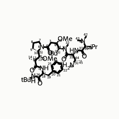 CC[C@H](C)[C@@H]([C@@H](CC(=O)N1CCC[C@H]1[C@H](OC)[C@@H](C)C(=O)N[C@@H](Cc1ccccc1)C(=O)NC(C)(C)C)OC)N(C)C(=O)[C@@H](NC(=O)[C@H](C(C)C)N(C)C)[C@H](C)N